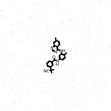 Cc1ccc2c(Nc3cc(NC(=O)c4cccc(C(C)(C)C#N)c4)ccc3C)ncnc2c1